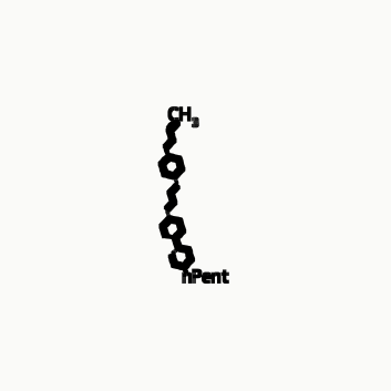 CC=CCC[C@H]1CC[C@H](CCCC[C@H]2CC[C@H]([C@H]3CC[C@H](CCCCC)CC3)CC2)CC1